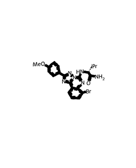 COc1ccc(-c2nc3c4cccc(Br)c4nc(N[C@@H](C(N)=O)C(C)C)n3n2)cc1